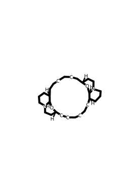 C1CCC[C@H]2CCCN3CC[C@@H](CCCCCC[C@@H]4CCCN5CC[C@@H](CC1)O[C@@H]45)O[C@@H]23